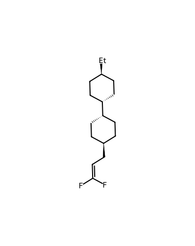 CC[C@H]1CC[C@H]([C@H]2CC[C@H](CC=C(F)F)CC2)CC1